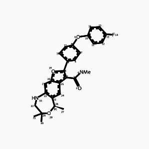 CNC(=O)c1c(-c2ccc(Oc3ccc(F)cc3)cc2)oc2cc3c(cc12)[C@@H](C)OC(C)(C)CN3